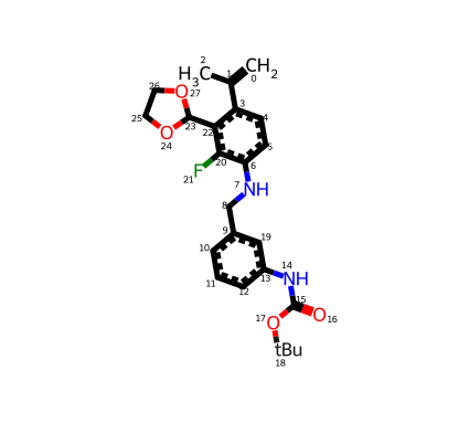 C=C(C)c1ccc(NCc2cccc(NC(=O)OC(C)(C)C)c2)c(F)c1C1OCCO1